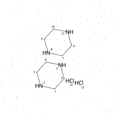 C1CNCCN1.C1CNCCN1.Cl.Cl